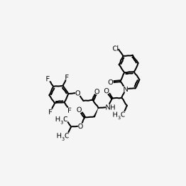 CCC(C(=O)N[C@@H](CC(=O)OC(C)C)C(=O)COc1c(F)c(F)cc(F)c1F)n1ccc2ccc(Cl)cc2c1=O